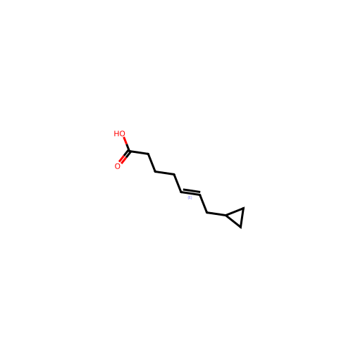 O=C(O)CCC/C=C/CC1CC1